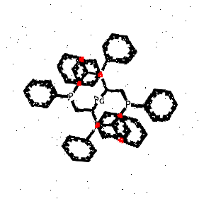 c1ccc(P(C[CH]([Pd][CH](CP(c2ccccc2)c2ccccc2)P(c2ccccc2)c2ccccc2)P(c2ccccc2)c2ccccc2)c2ccccc2)cc1